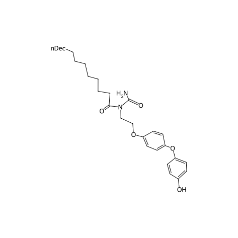 CCCCCCCCCCCCCCCCCC(=O)N(CCOc1ccc(Oc2ccc(O)cc2)cc1)C(N)=O